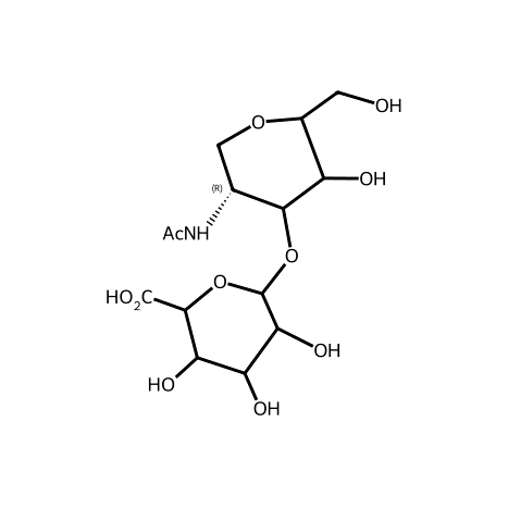 CC(=O)N[C@@H]1COC(CO)C(O)C1OC1OC(C(=O)O)C(O)C(O)C1O